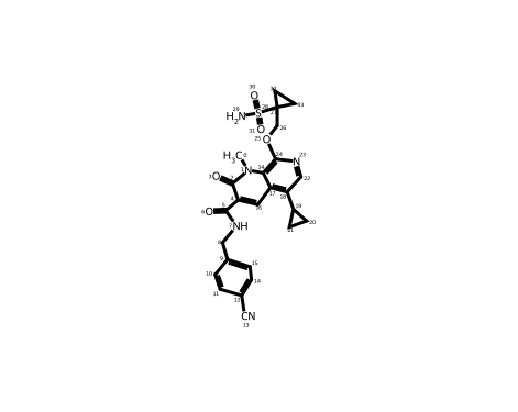 Cn1c(=O)c(C(=O)NCc2ccc(C#N)cc2)cc2c(C3CC3)cnc(OCC3(S(N)(=O)=O)CC3)c21